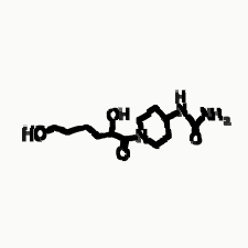 NC(=O)NC1CCN(C(=O)C(O)CCCCO)CC1